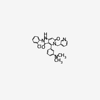 CN(C)c1cccc(-c2c3c(=O)n(-c4ccccc4Cl)[nH]c3cc(=O)n2Cc2cccnc2)c1